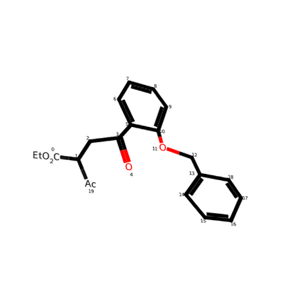 CCOC(=O)C(CC(=O)c1ccccc1OCc1ccccc1)C(C)=O